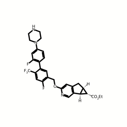 CCOC(=O)[C@H]1[C@@H]2Cc3cc(OCc4cc(-c5ccc(N6CCNCC6)cc5F)c(C(F)(F)F)cc4F)ncc3[C@@H]21